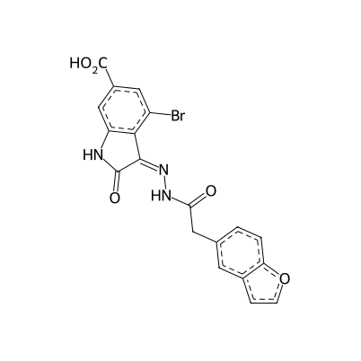 O=C(Cc1ccc2occc2c1)NN=C1C(=O)Nc2cc(C(=O)O)cc(Br)c21